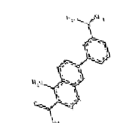 CN(C)c1cccc(-c2ccc3c(N)c(C(N)=O)nnc3c2)c1